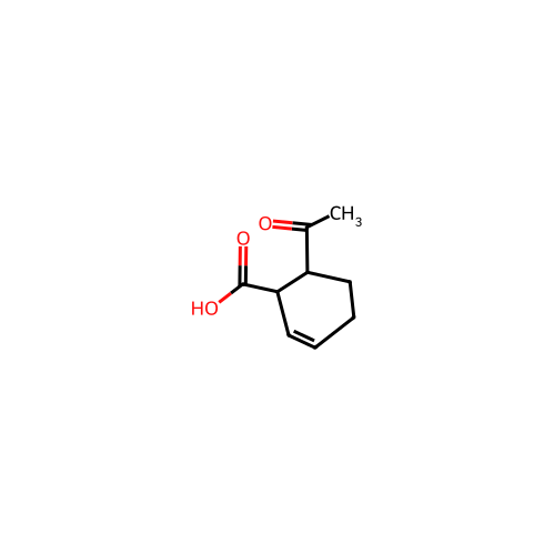 CC(=O)C1CCC=CC1C(=O)O